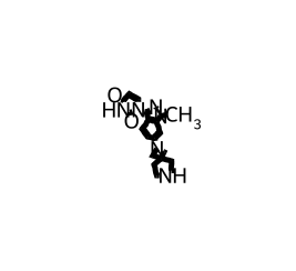 Cn1nc(-n2ccc(=O)[nH]c2=O)c2ccc(N3CC4(CCNCC4)C3)cc21